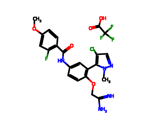 COc1ccc(C(=O)Nc2ccc(OCC(=N)N)c(-c3c(Cl)cnn3C)c2)c(F)c1.O=C(O)C(F)(F)F